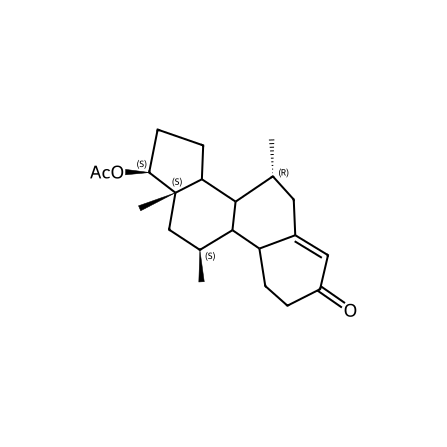 CC(=O)O[C@H]1CCC2C3C(C4CCC(=O)C=C4C[C@H]3C)[C@@H](C)C[C@@]21C